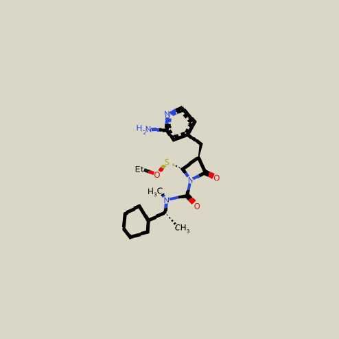 CCOS[C@@H]1[C@@H](Cc2ccnc(N)c2)C(=O)N1C(=O)N(C)[C@H](C)C1CCCCC1